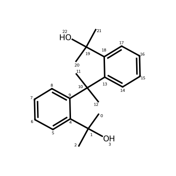 CC(C)(O)c1ccccc1C(C)(C)c1ccccc1C(C)(C)O